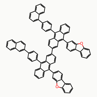 c1ccc2cc(-c3ccc(-c4c5ccccc5c(-c5ccc6c(c5)oc5ccccc56)c5ccc(-c6ccc7c(-c8ccc(-c9cccc%10ccccc9%10)cc8)c8ccccc8c(-c8ccc9c(c8)oc8ccccc89)c7c6)cc45)cc3)ccc2c1